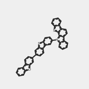 c1ccc2c(c1)oc1cc(-c3ccc4c(c3)sc3ccc(-n5c6ccccc6c6ccc7c8ccccc8sc7c65)cc34)ccc12